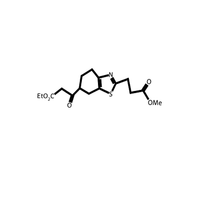 CCOC(=O)CC(=O)C1CCc2nc(CCC(=O)OC)sc2C1